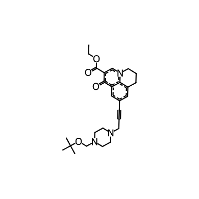 CCOC(=O)c1cn2c3c(cc(C#CCN4CCN(COC(C)(C)C)CC4)cc3c1=O)CCC2